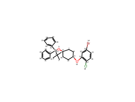 CC(C)(C)[Si](O[C@H]1CC[C@@H](Oc2cc(Br)ccc2Cl)CC1)(c1ccccc1)c1ccccc1